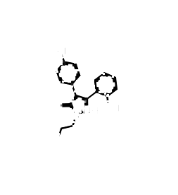 CCCn1[nH]c(-c2ccccc2C)c(-c2ccc(C)cc2)c1=O